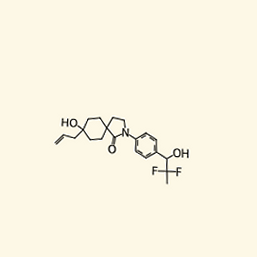 C=CCC1(O)CCC2(CCN(c3ccc(C(O)C(C)(F)F)cc3)C2=O)CC1